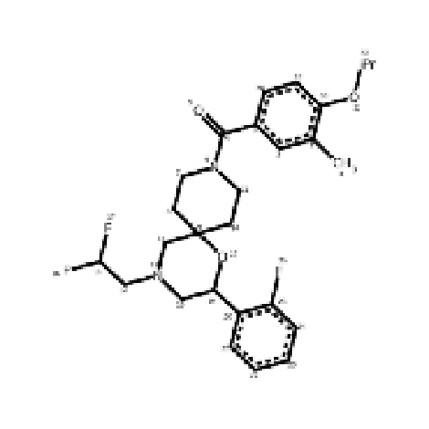 Cc1cc(C(=O)N2CCC3(CC2)CN(CC(F)F)CC(c2ccccc2F)O3)ccc1OC(C)C